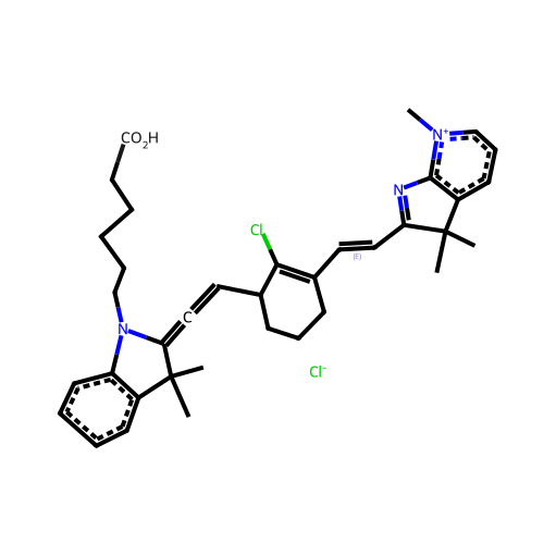 C[n+]1cccc2c1N=C(/C=C/C1=C(Cl)C(C=C=C3N(CCCCCC(=O)O)c4ccccc4C3(C)C)CCC1)C2(C)C.[Cl-]